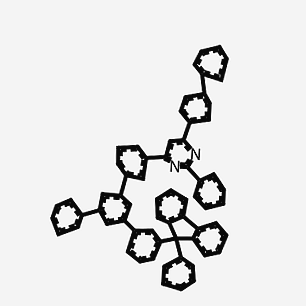 c1ccc(-c2ccc(-c3cc(-c4cccc(-c5cc(-c6ccccc6)cc(-c6cccc(C7(c8ccccc8)c8ccccc8-c8ccccc87)c6)c5)c4)nc(-c4ccccc4)n3)cc2)cc1